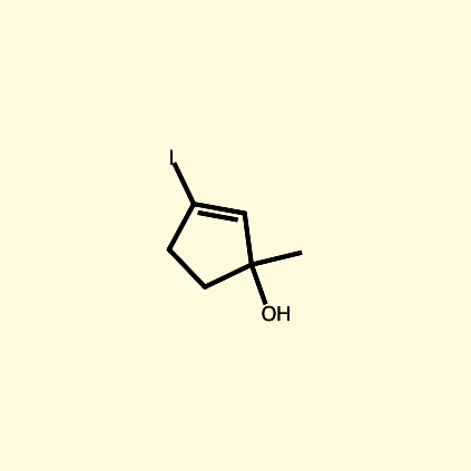 CC1(O)C=C(I)CC1